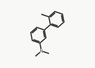 Cc1ccccc1-c1cccc(N(C)C)c1